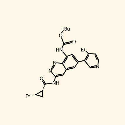 CCc1ccncc1-c1cc(NC(=O)OC(C)(C)C)c2nnc(NC(=O)[C@@H]3C[C@@H]3F)cc2c1